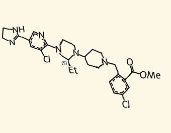 CC[C@H]1CN(c2ncc(C3=NCCN3)cc2Cl)CCN1C1CCN(Cc2ccc(Cl)cc2C(=O)OC)CC1